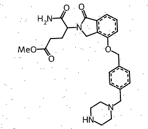 COC(=O)CCC(C(N)=O)N1Cc2c(OCc3ccc(CN4CCNCC4)cc3)cccc2C1=O